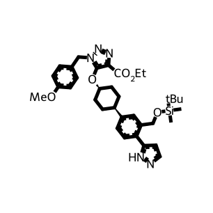 CCOC(=O)c1nnn(Cc2ccc(OC)cc2)c1O[C@H]1CC[C@H](c2ccc(-c3ccn[nH]3)c(CO[Si](C)(C)C(C)(C)C)c2)CC1